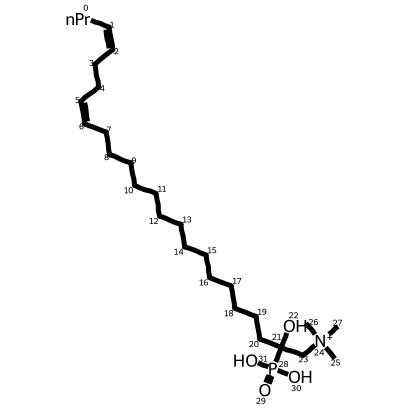 CCC/C=C\CC/C=C\CCCCCCCCCCCCCCC(O)(C[N+](C)(C)C)P(=O)(O)O